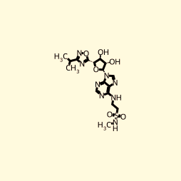 CNS(=O)(=O)CCNc1ncnc2c1ncn2[C@@H]1O[C@H](c2nc(C(C)C)no2)[C@@H](O)[C@@H]1O